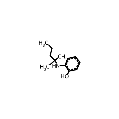 CCCC(C)(C)Nc1ccccc1O